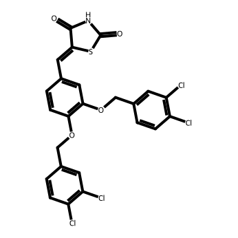 O=C1NC(=O)C(=Cc2ccc(OCc3ccc(Cl)c(Cl)c3)c(OCc3ccc(Cl)c(Cl)c3)c2)S1